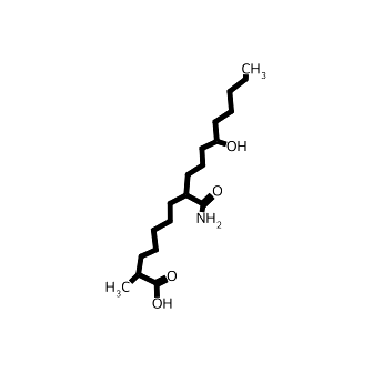 CCCCCC(O)CCCC(CCCCCC(C)C(=O)O)C(N)=O